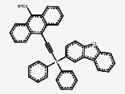 CCCCCCc1c2ccccc2c(C#C[Si](c2ccccc2)(c2ccccc2)c2ccc3oc4ccccc4c3c2)c2ccccc12